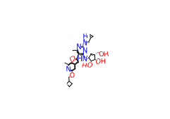 Cc1nc(NCC2CC2)nc(N[C@@H]2C[C@H](CO)[C@@H](O)[C@H]2O)c1-c1cc2cc(OCC3CCC3)nc(C)c2o1